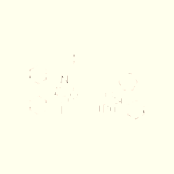 C=CCC(CC(C)CO[Si](c1ccccc1)(c1ccccc1)C(C)(C)C)C(=O)N(C)[C@H](c1ccccc1)[C@H](O)c1ccccc1